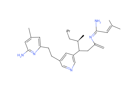 C=C(CC(c1cncc(CCc2cc(C)cc(N)n2)c1)[C@H](C)CC(C)C)/N=C(/N)C=C(C)C